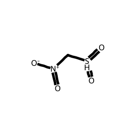 O=[N+]([O-])C[SH](=O)=O